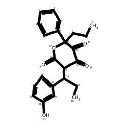 CCCC1(c2ccccc2)OC(=O)C(C(CC)c2cccc(O)c2)C(=O)C1=O